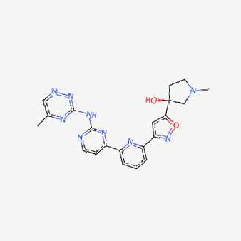 Cc1cnnc(Nc2nccc(-c3cccc(-c4cc([C@]5(O)CCN(C)C5)on4)n3)n2)n1